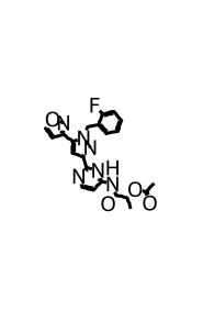 CC(=O)OC(C)C(=O)Nc1ccnc(-c2cc(-c3ccon3)n(Cc3ccccc3F)n2)n1